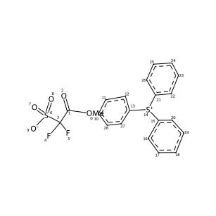 COC(=O)C(F)(F)S(=O)(=O)[O-].c1ccc([S+](c2ccccc2)c2ccccc2)cc1